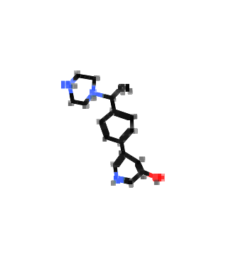 CC(c1ccc(-c2cncc(O)c2)cc1)N1CCNCC1